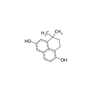 CC1(C)CCc2c(O)ccc3cc(O)cc1c23